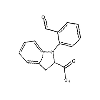 O=Cc1ccccc1N1c2ccccc2CC1C(=O)O